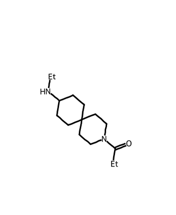 CCNC1CCC2(CC1)CCN(C(=O)CC)CC2